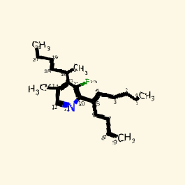 CCCCCC(CCCC)c1ncc(C)c(C(C)CCCC)c1F